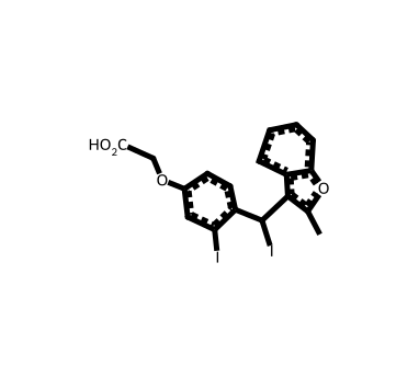 Cc1oc2ccccc2c1C(I)c1ccc(OCC(=O)O)cc1I